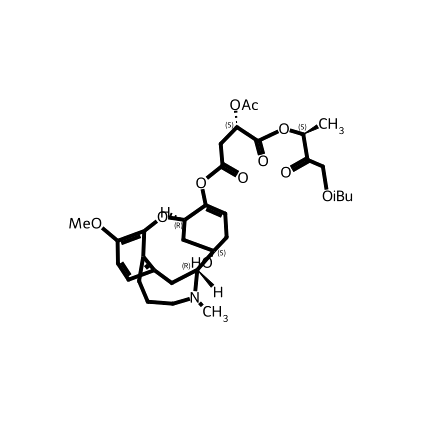 COc1ccc2c3c1O[C@@H]1C[C@@](O)(CC=C1OC(=O)C[C@H](OC(C)=O)C(=O)O[C@@H](C)C(=O)COCC(C)C)[C@@H](C2)N(C)CCC3